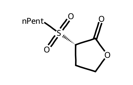 CCCCCS(=O)(=O)[C@H]1CCOC1=O